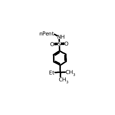 CCCCCNS(=O)(=O)c1ccc(C(C)(C)CC)cc1